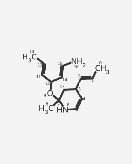 CC=CC1C=CNC(C)(OC(C=CC)C=CN)C1